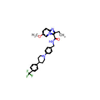 CCc1nc2ccc(OC)cn2c1C(=O)NCc1ccc(N2CCC(c3ccc(C(F)(F)F)cc3)CC2)cc1